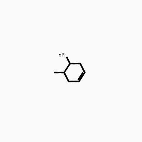 C[CH]CC1CC=CCC1C